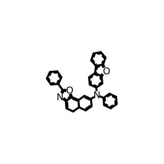 C1=CC2CC=c3nc(-c4ccccc4)oc3=C2C=C1N(c1ccccc1)c1ccc2c(c1)oc1ccccc12